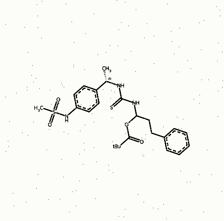 C[C@H](NC(=S)NC(CCc1ccccc1)OC(=O)C(C)(C)C)c1ccc(NS(C)(=O)=O)cc1